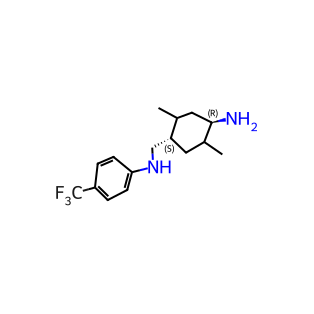 CC1C[C@@H](N)C(C)C[C@@H]1CNc1ccc(C(F)(F)F)cc1